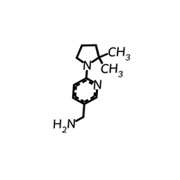 CC1(C)CCCN1c1ccc(CN)cn1